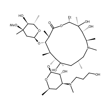 CC[C@H]1OC(=O)[C@H](C)[C@@H](O[C@H]2C[C@@](C)(OC)[C@@H](O)[C@H](C)O2)[C@H](C)[C@@H](O[C@@H]2O[C@H](C)C[C@H](N(C)CCCO)[C@H]2O)[C@](C)(O)C[C@@H](C)CN(C)[C@H](C)[C@@H](O)[C@]1(C)O